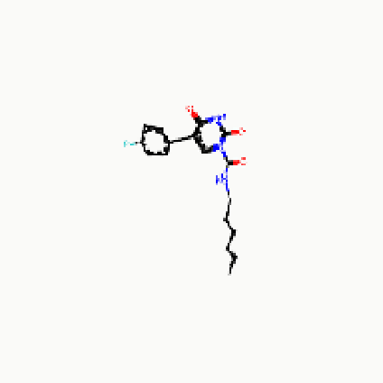 CCCCCCNC(=O)n1cc(-c2ccc(F)cc2)c(=O)[nH]c1=O